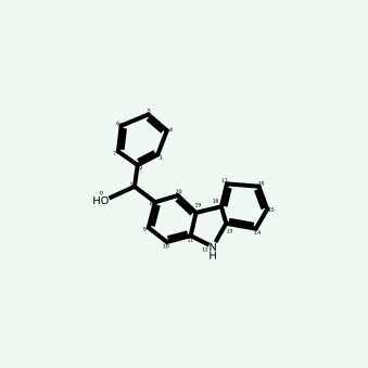 OC(c1ccccc1)c1ccc2[nH]c3ccccc3c2c1